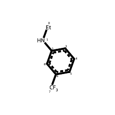 CCNc1c[c]cc(C(F)(F)F)c1